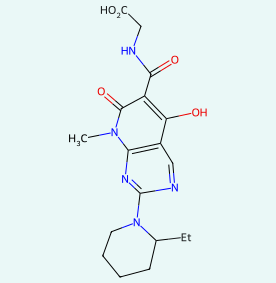 CCC1CCCCN1c1ncc2c(O)c(C(=O)NCC(=O)O)c(=O)n(C)c2n1